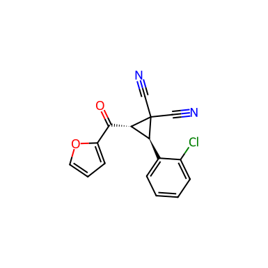 N#CC1(C#N)[C@@H](C(=O)c2ccco2)[C@@H]1c1ccccc1Cl